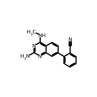 CNc1nc(N)nc2cc(-c3ccccc3C#N)ccc12